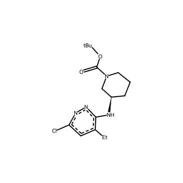 CCc1cc(Cl)nnc1N[C@@H]1CCCN(C(=O)OC(C)(C)C)C1